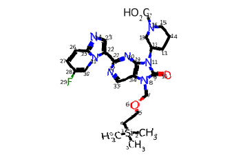 C[Si](C)(C)CCOCn1c(=O)n(C2CCCN(C(=O)O)C2)c2nc(-c3cnc4ccc(F)cn34)ncc21